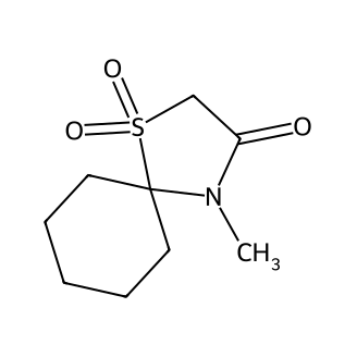 CN1C(=O)CS(=O)(=O)C12CCCCC2